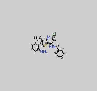 Cc1c([C@H]2CCCC[C@@H]2N)sc2c(NCc3ccccc3)cc(Cl)nc12